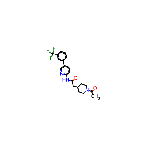 CC(=O)N1CCC(CC(=O)Nc2ccc(-c3cccc(C(F)(F)F)c3)cn2)CC1